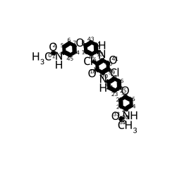 CC(=O)Nc1ccc(Oc2ccc(NC3=C(Cl)C(=O)C(Nc4ccc(Oc5ccc(NC(C)=O)cc5)cc4)=C(Cl)C3=O)cc2)cc1